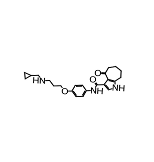 O=C(Nc1ccc(OCCCNCC2CC2)cc1)c1c[nH]c2c1C(=O)CCCC2